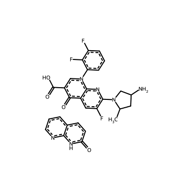 CC1CC(N)CN1c1nc2c(cc1F)c(=O)c(C(=O)O)cn2-c1cccc(F)c1F.O=c1ccc2cccnc2[nH]1